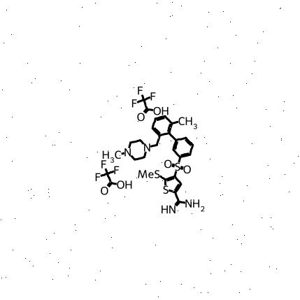 CSc1sc(C(=N)N)cc1S(=O)(=O)c1cccc(-c2c(C)cccc2CN2CCN(C)CC2)c1.O=C(O)C(F)(F)F.O=C(O)C(F)(F)F